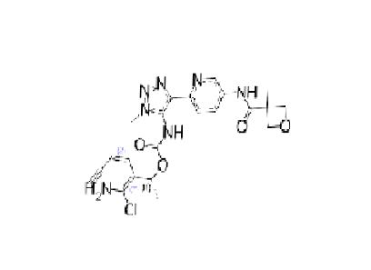 C#C/C=C\C(=C(/N)Cl)[C@@H](C)OC(=O)Nc1c(-c2ccc(NC(=O)C3(C)COC3)cn2)nnn1C